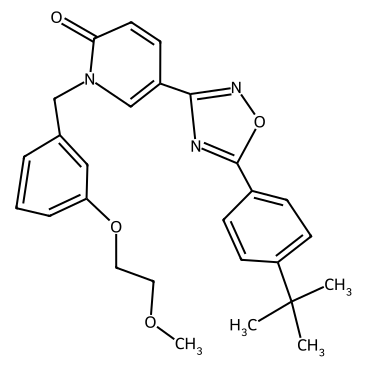 COCCOc1cccc(Cn2cc(-c3noc(-c4ccc(C(C)(C)C)cc4)n3)ccc2=O)c1